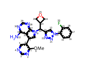 COc1ncncc1-c1cn(C(c2cn(-c3ccccc3F)nn2)C2COC2)c2ncnc(N)c12